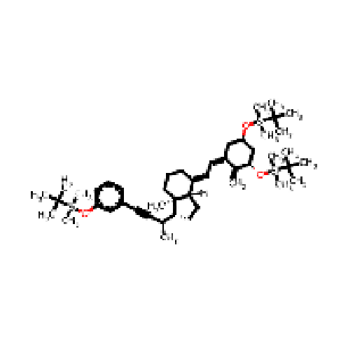 C=C1/C(=C\C=C2/CCC[C@]3(C)[C@@H]([C@@H](C)C#Cc4cccc(O[Si](C)(C)C(C)(C)C)c4)CC[C@@H]23)C[C@@H](O[Si](C)(C)C(C)(C)C)C[C@@H]1O[Si](C)(C)C(C)(C)C